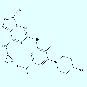 N#Cc1cnc2c(NC3CC3)nc(Nc3cc(C(F)F)cc(N4CCC(O)CC4)c3Cl)nn12